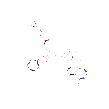 CC(=O)O[C@H]1[C@@H](OC(C)=O)[C@](C#N)(c2ccc3c(N)ncnn23)O[C@@H]1COP(=O)(NCC(=O)OCC1CC1)Oc1ccc(C(C)(C)C)cc1